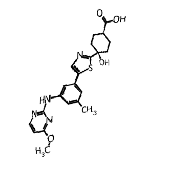 COc1ccnc(Nc2cc(C)cc(-c3cnc([C@]4(O)CC[C@@H](C(=O)O)CC4)s3)c2)n1